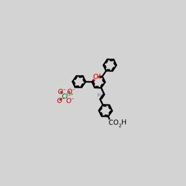 O=C(O)c1ccc(/C=C/c2cc(-c3ccccc3)[o+]c(-c3ccccc3)c2)cc1.[O-][Cl+3]([O-])([O-])[O-]